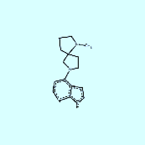 CN1CCCC12CCN(c1ccnc3[nH]ccc13)C2